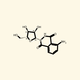 Nc1cccc2c(=O)n([C@@H]3O[C@H](CO)[C@@H](O)[C@H]3O)[nH]c(=O)c12